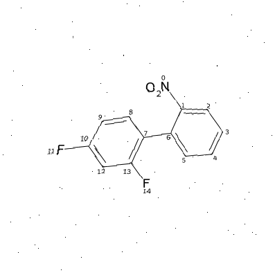 O=[N+]([O-])c1ccccc1-c1ccc(F)cc1F